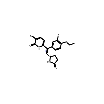 CCOc1ccc(/C(=C\[C@H]2CCC(=O)N2)c2ccc(Cl)c(=O)[nH]2)cc1F